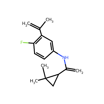 C=C(C)c1cc(NC(=C)C2CC2(C)C)ccc1F